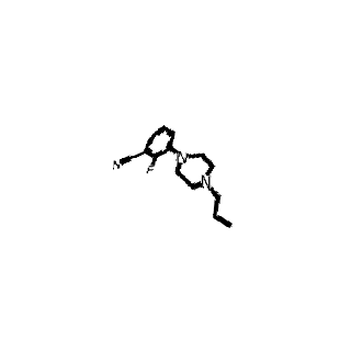 C=CCN1CCN(c2cccc(C#N)c2F)CC1